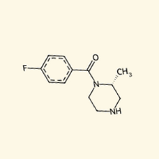 C[C@@H]1CNCCN1C(=O)c1ccc(F)cc1